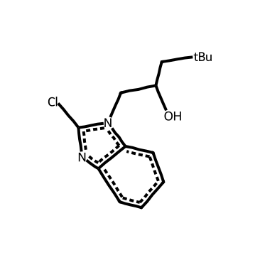 CC(C)(C)CC(O)Cn1c(Cl)nc2ccccc21